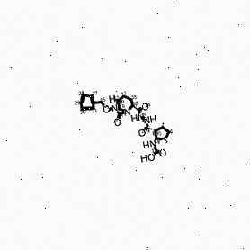 O=C(O)N[C@@H]1CCC[C@H]1C(=O)NNC(=O)[C@@H]1CC[C@@H]2CN1C(=O)N2OCc1ccccc1